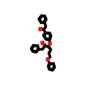 O=C(Cc1ccccc1)c1ccc(OC(CCCOc2ccccc2)C(=O)Cc2ccccc2)cc1